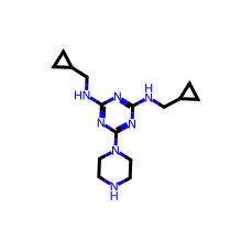 C1CN(c2nc(NCC3CC3)nc(NCC3CC3)n2)CCN1